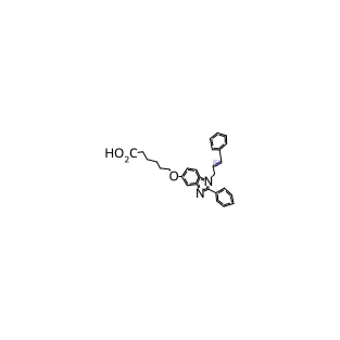 O=C(O)CCCCCOc1ccc2c(c1)nc(-c1ccccc1)n2C/C=C/c1ccccc1